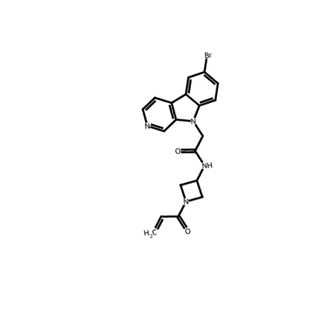 C=CC(=O)N1CC(NC(=O)Cn2c3ccc(Br)cc3c3ccncc32)C1